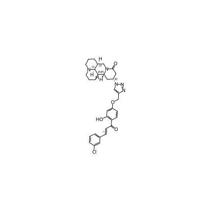 O=C(/C=C/c1cccc(Cl)c1)c1ccc(OCc2cn([C@H]3CC(=O)N4C[C@@H]5CCCN6CCC[C@@H]([C@H]56)[C@H]4C3)nn2)cc1O